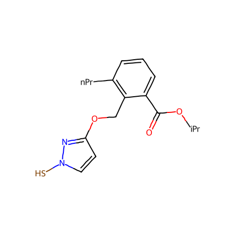 CCCc1cccc(C(=O)OC(C)C)c1COc1ccn(S)n1